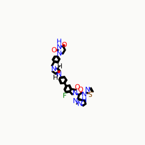 O=C1CCN(c2ccc(CN3C[C@@H]4C[C@H]3CN4c3ccc(-c4cc(F)c5c(c4)C(=O)N(C(C(=O)Nc4nccs4)c4ncn6c4CCC6)C5)cc3)cc2)C(=O)N1